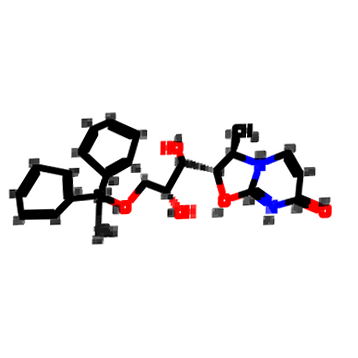 C[C@@H]1[C@@H](C(O)[C@H](O)CO[Si](c2ccccc2)(c2ccccc2)C(C)(C)C)Oc2nc(=O)ccn21